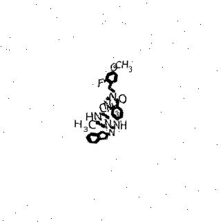 COc1ccc(CCn2cnc3cc(N/C(=N/C4Cc5ccccc5C4)N4CC(C)NC(C)C4)ccc3c2=O)c(F)c1